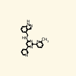 Cc1cccc(-c2nc(NCc3cccc4[nH]ncc34)cc(-c3cccnc3)n2)n1